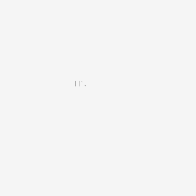 [CH]1CCCCC12[CH]NCC2